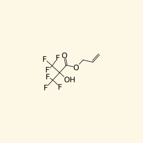 C=CCOC(=O)C(O)(C(F)(F)F)C(F)(F)F